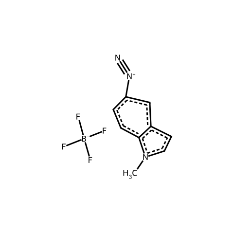 Cn1ccc2cc([N+]#N)ccc21.F[B-](F)(F)F